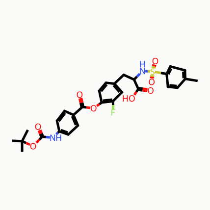 Cc1ccc(S(=O)(=O)NC(Cc2ccc(OC(=O)c3ccc(NC(=O)OC(C)(C)C)cc3)c(F)c2)C(=O)O)cc1